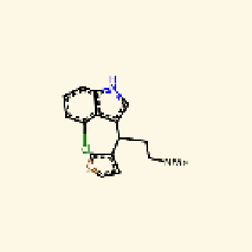 CNCCC(c1ccsc1)c1c[nH]c2cccc(Cl)c12